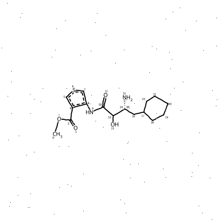 COC(=O)c1cscc1NC(=O)C(O)[C@H](N)CC1CCCCC1